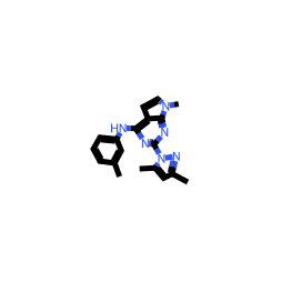 Cc1cccc(Nc2nc(-n3nc(C)cc3C)nc3c2ccn3C)c1